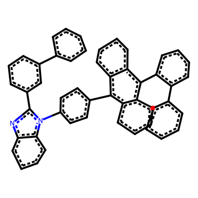 c1ccc(-c2cccc(-c3nc4ccccc4n3-c3ccc(-c4c5ccccc5c(-c5ccccc5-c5ccccc5)c5ccccc45)cc3)c2)cc1